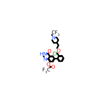 O=C(Oc1cc(-c2ccccc2COCCC2CCN(CC(F)(F)F)CC2)c(Cl)c2c(=O)[nH]cnc12)C(F)(F)F